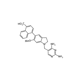 COc1cc2c(cc1-c1ccc(C(=O)O)c3ccccc13)CCN2Cc1cnc(N)nc1N